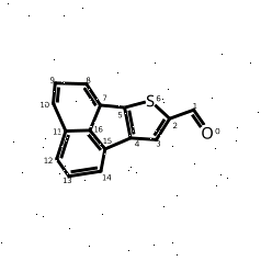 O=Cc1cc2c(s1)-c1cccc3cccc-2c13